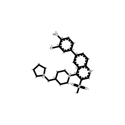 CS(=O)(=O)c1cnc2ccc(-c3ccc(O)c(Cl)c3)cc2c1N1CCC(CN2CCCC2)CC1